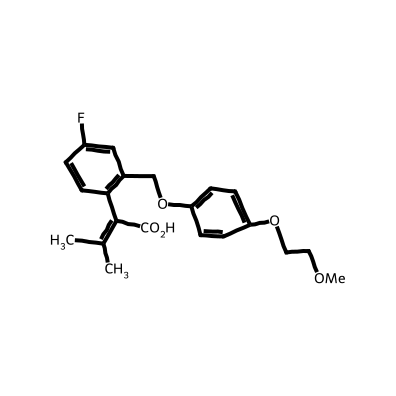 COCCOc1ccc(OCc2cc(F)ccc2C(C(=O)O)=C(C)C)cc1